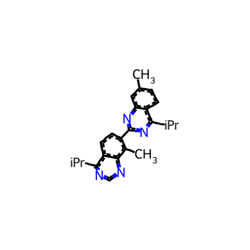 Cc1ccc2c(C(C)C)nc(-c3ccc4c(C(C)C)ncnc4c3C)nc2c1